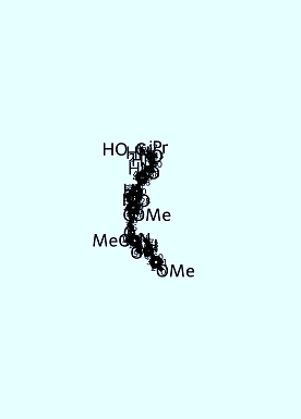 COc1ccc(C2=CN3C(=O)c4cc(OC)c(OCCCOc5cc6c(cc5OC)C(=O)N5C=C(c7ccc(NC(=O)[C@H](C)NC(=O)[C@@H](NC(=O)O)C(C)C)cc7)C[C@H]5C=N6)cc4N=C[C@@H]3C2)cc1